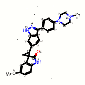 COc1ccc2c(c1)C1(CC1c1ccc3c(-c4ccc(N5CCN(C(C)C)CC5)cc4)n[nH]c3c1)C(=O)N2